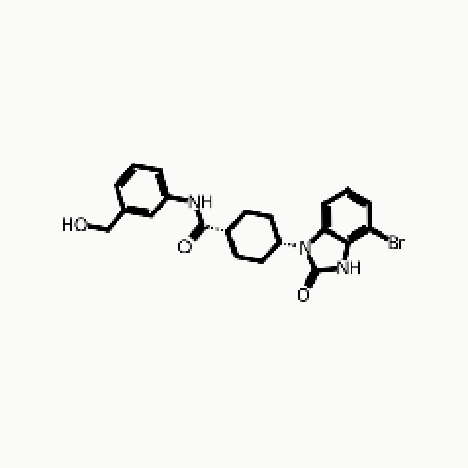 O=c1[nH]c2c(Br)cccc2n1[C@H]1CC[C@@H](C(=O)Nc2cccc(CO)c2)CC1